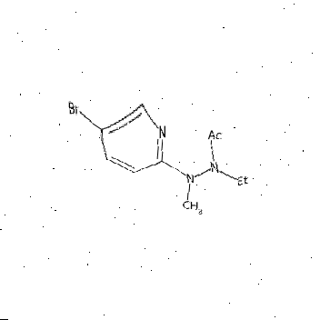 [CH2]CN(C(C)=O)N(C)c1ccc(Br)cn1